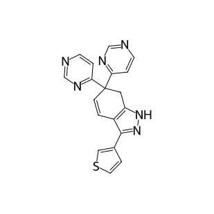 C1=CC(c2ccncn2)(c2ccncn2)Cc2[nH]nc(-c3ccsc3)c21